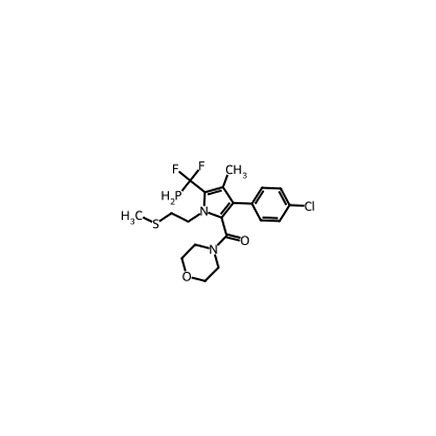 CSCCn1c(C(=O)N2CCOCC2)c(-c2ccc(Cl)cc2)c(C)c1C(F)(F)P